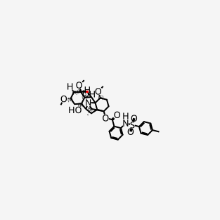 CO[C@H]1C[C@]2(O)C3CC4C5(OC(=O)c6ccccc6NS(=O)(=O)c6ccc(C)cc6)CC[C@H](OC)C4(C4C[C@H]1[C@H](OC)[C@@]42O)N3[C@H]5C